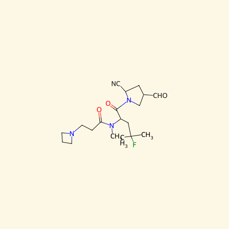 CN(C(=O)CCN1CCC1)C(CC(C)(C)F)C(=O)N1CC(C=O)CC1C#N